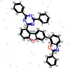 c1ccc(-c2nc(-c3ccccc3)nc(-c3cccc4oc5cc(-c6cccc7nc(-c8ccccc8)oc67)ccc5c34)n2)cc1